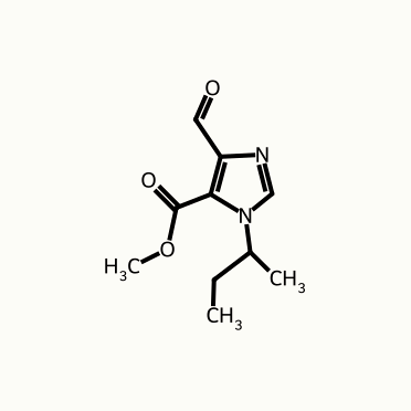 CCC(C)n1cnc(C=O)c1C(=O)OC